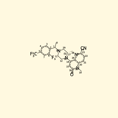 CC(c1ccc(C(F)(F)F)cc1F)N1CCN(c2cc(=O)n(C)c3ccc(C#N)nc23)[C@@H](C)C1